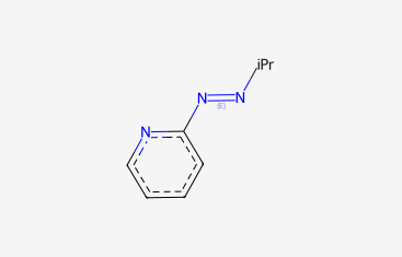 CC(C)/N=N/c1ccccn1